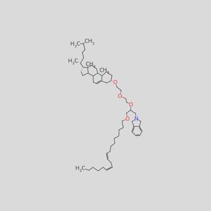 CCCCC/C=C\C/C=C\CCCCCCCCOCC(CN1Cc2ccccc2C1)OCCOCCO[C@H]1CC[C@@]2(C)C(=CCC3C2CC[C@@]2(C)C3CC[C@@H]2[C@H](C)CCCC(C)C)C1